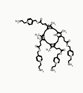 Cc1c2[nH]c(c1CCC(=O)OCc1cc[n+](CCN)cc1)Cc1[nH]c(c(C)c1CCC(=O)OCc1cc[n+](CCN)cc1)Cc1c(CCC(=O)OCc3cc[n+](CCN)cc3)c(C)c(n1C)Cc1c(CCC(=O)OCc3cc[n+](CCN)cc3)c(C)c(n1C)C2